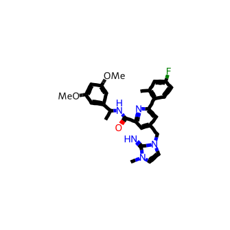 COc1cc(OC)cc(C(C)NC(=O)c2cc(Cn3ccn(C)c3=N)cc(-c3ccc(F)cc3C)n2)c1